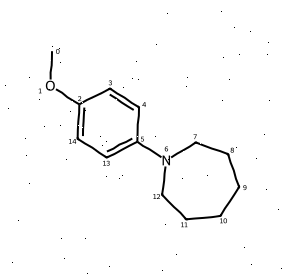 COc1ccc(N2CCCCCC2)cc1